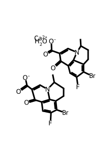 CC1CCc2c(Br)c(F)cc3c(=O)c(C(=O)[O-])cn1c23.CC1CCc2c(Br)c(F)cc3c(=O)c(C(=O)[O-])cn1c23.O.[Ca+2]